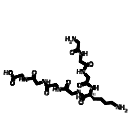 NCCCC[C@H](NC(=O)CNC(=O)CNC(=O)CN)C(=O)NCC(=O)NCC(=O)NCC(=O)NCC(=O)O